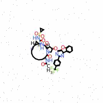 CC(=O)N[C@H]1CCCCC/C=C\[C@@H]2C[C@@]2(C(=O)NS(=O)(=O)C2CC2)NC(=O)[C@@H]2C[C@@H](Oc3nc(-c4ccc(C(F)(F)F)cc4)nc4c3oc3ccccc34)CN2C1=O